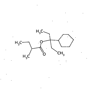 CCC(C)C(=O)OC(CC)(CC)C1CCCCC1